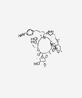 CC[C@H]1OC(=O)[C@H](C)[C@@H](O[C@H]2C[C@@](C)(OC)[C@@H](O)[C@H](C)O2)[C@H](C)[C@@H](O[C@@H]2O[C@H](C)C[C@H](N(C)CCc3cn(CCCCc4ccc([N+]#N)cc4)nn3)[C@H]2O)[C@](C)(O)C[C@@H](C)CN(C)[C@H](C)[C@@H](O)[C@]1(C)O